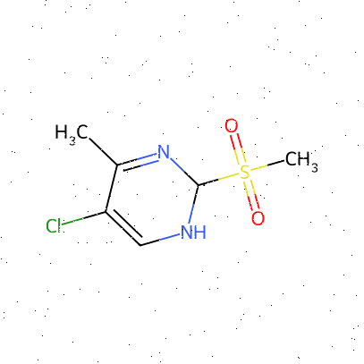 CC1=N[C](S(C)(=O)=O)NC=C1Cl